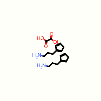 NCCCC1=CCC=C1.NCCCC1=CCC=C1.O=C(O)C(=O)O